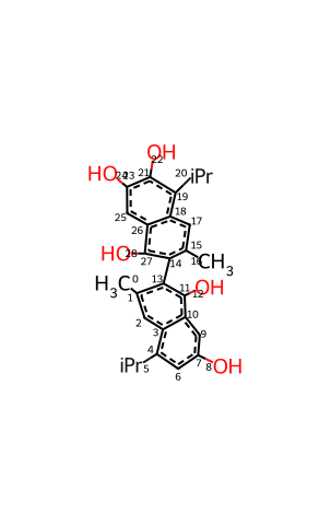 Cc1cc2c(C(C)C)cc(O)cc2c(O)c1-c1c(C)cc2c(C(C)C)c(O)c(O)cc2c1O